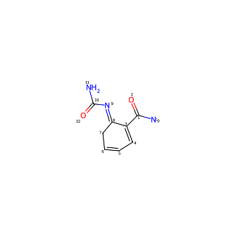 [N]C(=O)C1=CC=CCC1=NC(N)=O